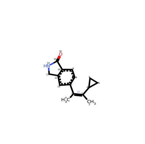 C/C(=C(\C)C1CC1)c1ccc2c(c1)CNC2=O